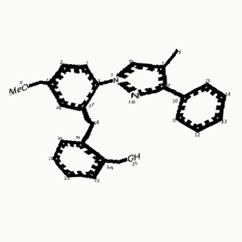 COc1ccc(-n2cc(C)c(-c3ccccc3)n2)c(Cc2ccccc2O)c1